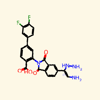 N/C=C(\NN)c1ccc2c(c1)C(=O)N(c1cc(-c3ccc(F)c(F)c3)ccc1C(=O)O)C2=O